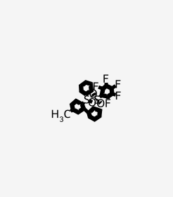 Cc1ccc([S+](OS(=O)(=O)c2c(F)c(F)c(F)c(F)c2F)c2ccccc2)c(-c2ccccc2)c1